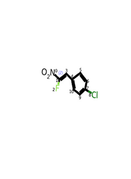 O=[N+]([O-])/C(F)=C/c1ccc(Cl)cc1